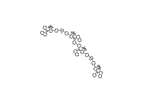 c1ccc(N(c2ccc(-c3ccc(-c4ccc(-c5ccc(-c6ccc(N(c7cccc(-c8cccc(N(c9ccc(-c%10ccc(-c%11ccc(-c%12ccc(-c%13ccc(N(c%14ccccc%14)c%14cccc%15ccccc%14%15)c%14c%13N=S=N%14)cc%12)s%11)cc%10)c%10c9N=S=N%10)c9cccc%10ccccc9%10)c8)c7)c7cccc8ccccc78)c7c6N=S=N7)cc5)o4)cc3)c3c2N=S=N3)c2cccc3ccccc23)cc1